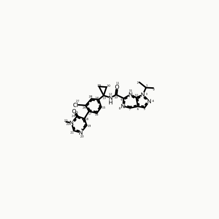 CC(C)n1ncc2cnc(C(=O)NC3(c4ccc(-c5cncn(C)c5=O)c(Cl)c4)CC3)nc21